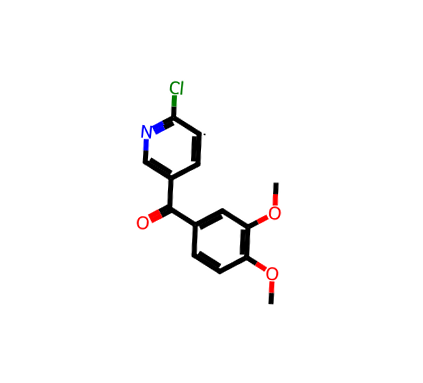 COc1ccc(C(=O)c2c[c]c(Cl)nc2)cc1OC